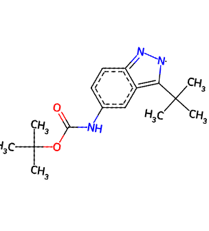 CC(C)(C)OC(=O)Nc1ccc2c(c1)=C(C(C)(C)C)[N]N=2